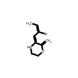 C=C1OCCN/C1=C/C(Br)=C\C